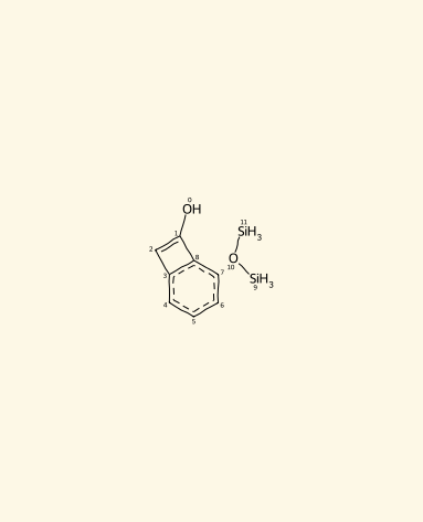 OC1=Cc2ccccc21.[SiH3]O[SiH3]